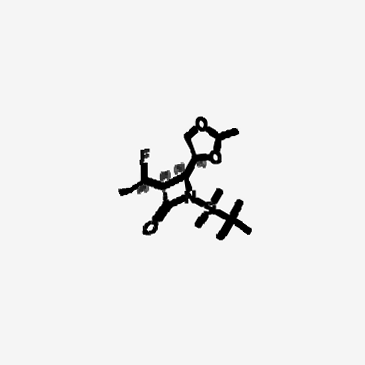 CC1OC[C@H]([C@@H]2[C@@H]([C@@H](C)F)C(=O)N2[Si](C)(C)C(C)(C)C)O1